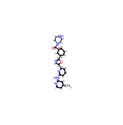 Cc1ccnc(Nc2cccc(-c3cnc(-c4cccc(C(=O)N5CCNCC5)c4)o3)n2)c1